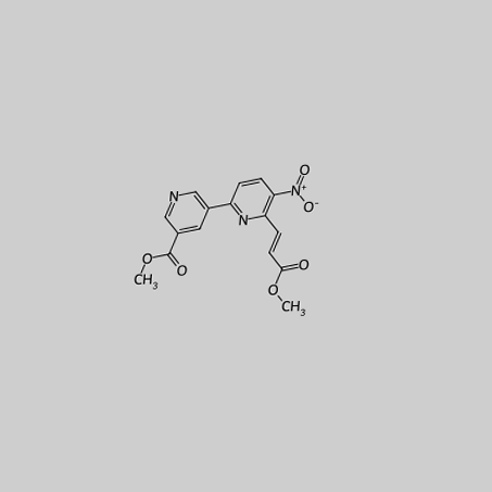 COC(=O)C=Cc1nc(-c2cncc(C(=O)OC)c2)ccc1[N+](=O)[O-]